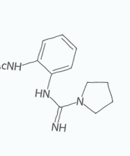 CC(=O)Nc1ccccc1NC(=N)N1CCCC1